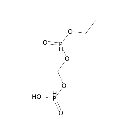 CCO[PH](=O)OCO[PH](=O)O